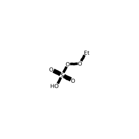 CCOOS(=O)(=O)O